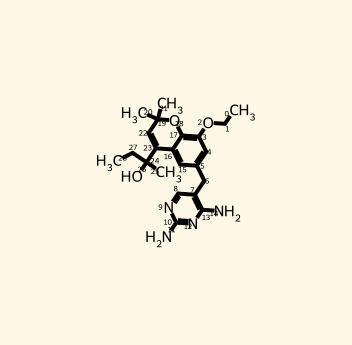 CCOc1cc(Cc2cnc(N)nc2N)cc2c1OC(C)(C)C=C2C(C)(O)CC